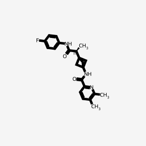 Cc1ccc(C(=O)NC23CC([C@H](C)C(=O)Nc4ccc(F)cc4)(C2)C3)nc1C